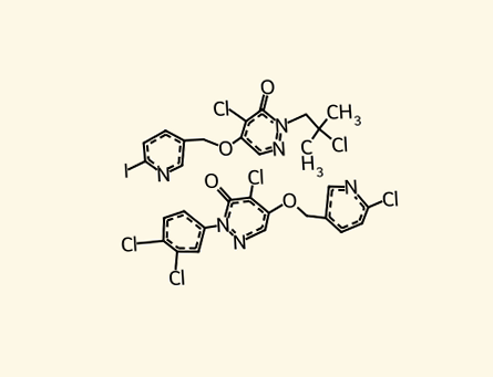 CC(C)(Cl)Cn1ncc(OCc2ccc(I)nc2)c(Cl)c1=O.O=c1c(Cl)c(OCc2ccc(Cl)nc2)cnn1-c1ccc(Cl)c(Cl)c1